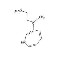 COCCN(C)C1=CNC=CC=C1